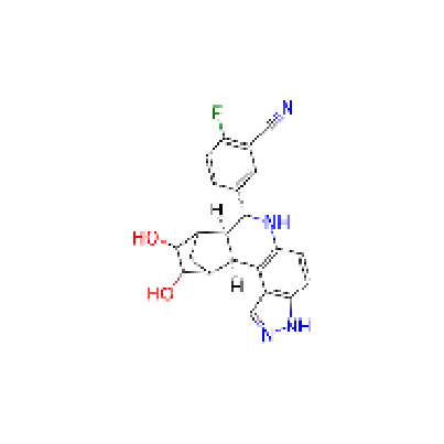 N#Cc1cc([C@@H]2Nc3ccc4[nH]ncc4c3[C@H]3C4CC(C(O)C4O)[C@@H]23)ccc1F